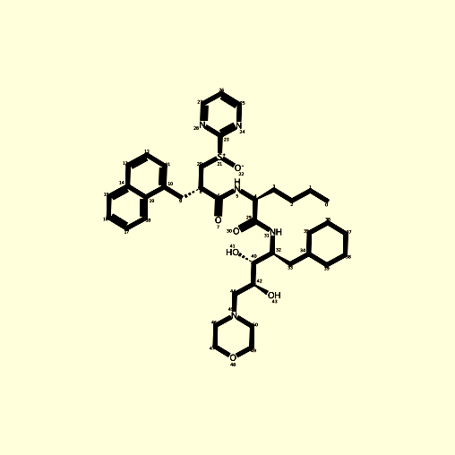 CCCC[C@H](NC(=O)[C@H](Cc1cccc2ccccc12)C[S+]([O-])c1ncccn1)C(=O)N[C@@H](CC1CCCCC1)[C@@H](O)[C@@H](O)CN1CCOCC1